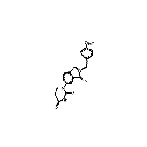 COc1ccc(CN2Cc3ccc(N4CCC(=O)NC4=O)cc3C2=O)cc1